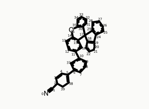 N#CC1C=CC(c2cccc(-c3ccc4c(c3)C3(C5=C(CCC=C5)c5ccccc53)c3ccccc3O4)c2)=CC1